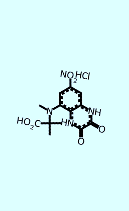 CN(c1cc([N+](=O)[O-])cc2[nH]c(=O)c(=O)[nH]c12)C(C)(C)C(=O)O.Cl